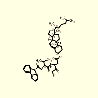 CC(C)CCC[C@@H](C)[C@H]1CC[C@H]2[C@@H]3CC=C4C[C@@H](OC(=O)CC(NC(=O)[C@@H](CC(=O)n5c6ccccc6c6ccccc65)C(C)C)C(=O)CF)CC[C@]4(C)[C@H]3CC[C@]12C